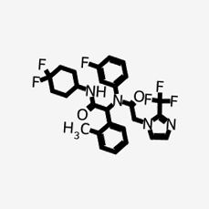 Cc1ccccc1C(C(=O)NC1CCC(F)(F)CC1)N(C(=O)Cn1ccnc1C(F)(F)F)c1cccc(F)c1